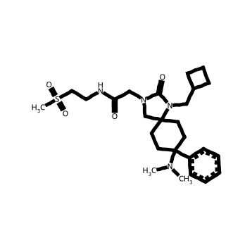 CN(C)C1(c2ccccc2)CCC2(CC1)CN(CC(=O)NCCS(C)(=O)=O)C(=O)N2CC1CCC1